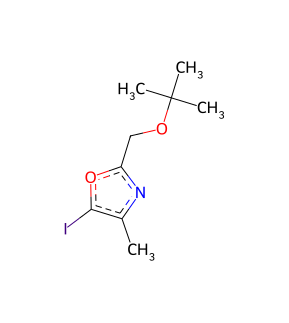 Cc1nc(COC(C)(C)C)oc1I